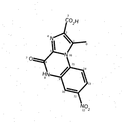 Cc1c(C(=O)O)nc2c(=O)[nH]c3cc([N+](=O)[O-])ccc3n12